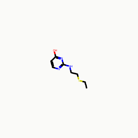 CCSCCNc1nccc(O)n1